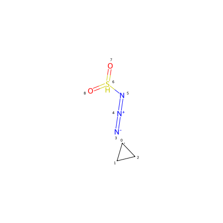 [CH]1CC1.[N-]=[N+]=N[SH](=O)=O